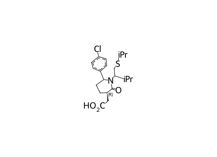 CC(C)SCC(C(C)C)N1C(=O)[C@@H](CC(=O)O)CCC1c1ccc(Cl)cc1